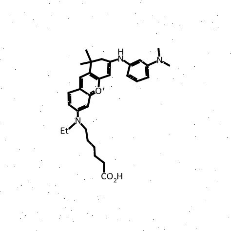 CCN(CCCCCC(=O)O)c1ccc2cc3c([o+]c2c1)C=C(Nc1cccc(N(C)C)c1)CC3(C)C